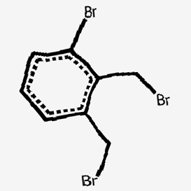 BrCc1cccc(Br)c1CBr